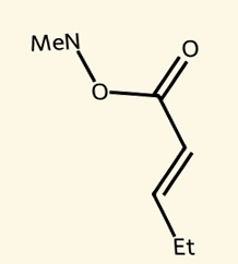 CCC=CC(=O)ONC